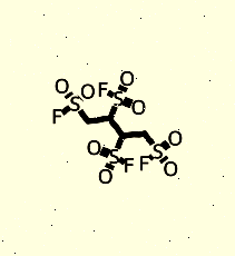 O=S(=O)(F)CC(C(CS(=O)(=O)F)S(=O)(=O)F)S(=O)(=O)F